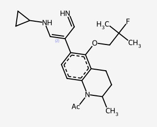 CC(=O)N1c2ccc(/C(C=N)=C/NC3CC3)c(OCC(C)(C)F)c2CCC1C